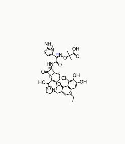 CCn1cc(C[N+]2(CC3=C(C(=O)O)N4C(=O)[C@@H](NC(=O)/C(=N\OC(C)(C)C(=O)O)c5csc(N)n5)C4SC3)CCCC2)c(=O)c2c(Cl)c(O)c(O)cc21